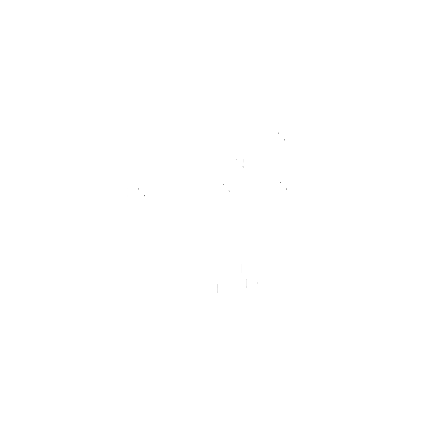 Cl.Cl.NC(N)=NN=Cc1cc(O)ccc1N